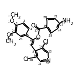 COc1ccc(C(=Cc2c(Cl)cncc2Cl)OC(=O)c2ccc(N)cc2)cc1OC